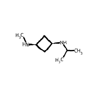 CN[C@H]1C[C@@H](NC(C)C)C1